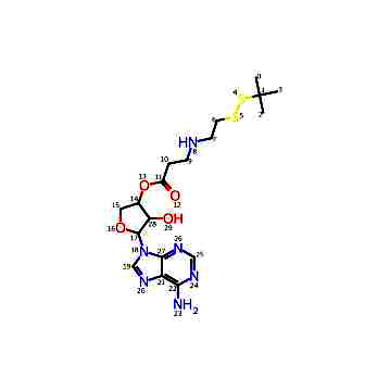 CC(C)(C)SSCCNCCC(=O)OC1COC(n2cnc3c(N)ncnc32)C1O